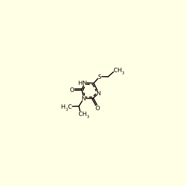 CCSc1nc(=O)n(C(C)C)c(=O)[nH]1